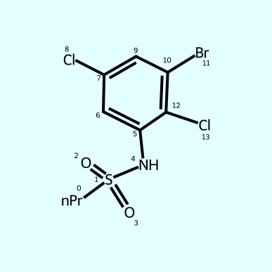 CCCS(=O)(=O)Nc1cc(Cl)cc(Br)c1Cl